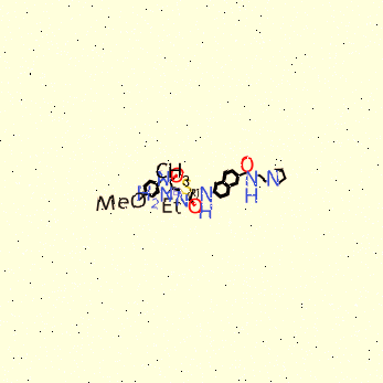 CCN1C(=O)[C@@H](CNc2ccc3cc(C(=O)NCCN4CCCC4)ccc3c2)S/C1=C(/N)C(=O)N(C)c1ccc(OC)cc1